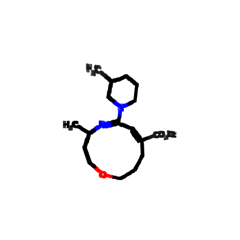 CCOC(=O)/C1=C/C(N2CCCC(C(F)(F)F)C2)=N\C(C)CCOCCC1